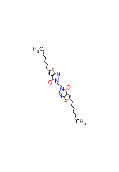 CCCCCCCc1cc2c(=O)n(CCn3cnc4sc(CCCCCCC)cc4c3=O)cnc2s1